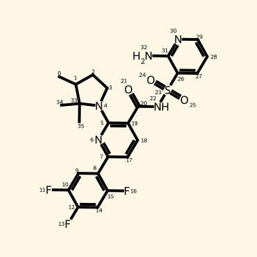 CC1CCN(c2nc(-c3cc(F)c(F)cc3F)ccc2C(=O)NS(=O)(=O)c2cccnc2N)C1(C)C